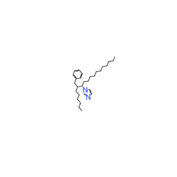 CCCCCCCCCCCC(C(CCCCCC)Cc1ccccc1)n1ccnc1